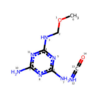 COCNc1nc(N)nc(N)n1.N=C=O